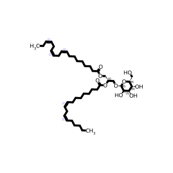 CC/C=C\C/C=C\C/C=C\CCCCCCCC(=O)OC[C@H](CO[C@@H]1O[C@H](CO)[C@H](O)[C@H](O)[C@H]1O)OC(=O)CCCCCCC/C=C\C/C=C\CCCCC